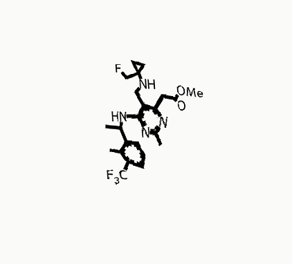 COC(=O)Cc1nc(C)nc(NC(C)c2cccc(C(F)(F)F)c2C)c1CNC1(CF)CC1